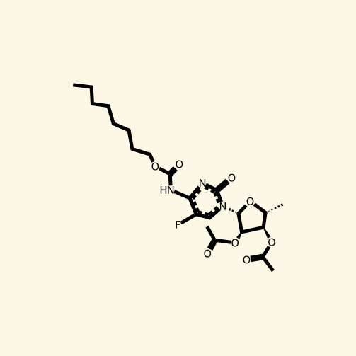 CCCCCCCCOC(=O)Nc1nc(=O)n([C@@H]2O[C@H](C)[C@@H](OC(C)=O)[C@H]2OC(C)=O)cc1F